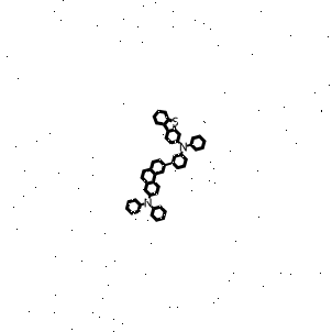 c1ccc(N(c2ccccc2)c2ccc3c(ccc4ccc(-c5cccc(N(c6ccccc6)c6ccc7c(c6)sc6ccccc67)c5)cc43)c2)cc1